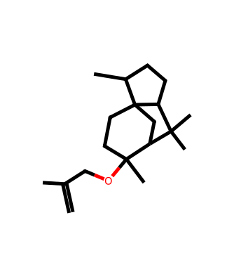 C=C(C)COC1(C)CCC23CC1C(C)(C)C2CCC3C